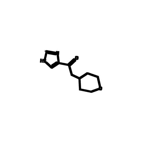 O=C(CC1CCOCC1)c1c[nH][c]n1